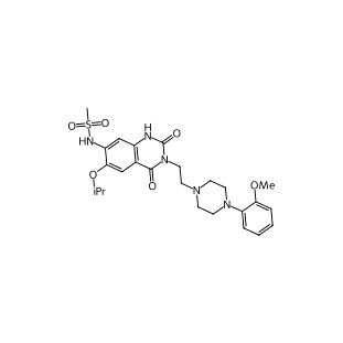 COc1ccccc1N1CCN(CCn2c(=O)[nH]c3cc(NS(C)(=O)=O)c(OC(C)C)cc3c2=O)CC1